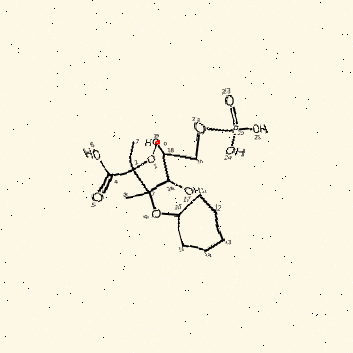 COC(C)(C(=O)O)C(C)(OC1CCCCC1)C(O)C(O)COP(=O)(O)O